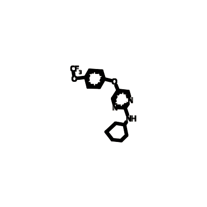 FC(F)(F)Oc1ccc(Oc2cnc(NC3CCCCC3)nc2)cc1